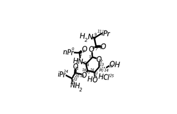 CCCC(=O)N[C@H]1C(OC(=O)C(N)C(C)C)O[C@H](CO)[C@@H](O)[C@@H]1OC(=O)C(N)C(C)C.Cl